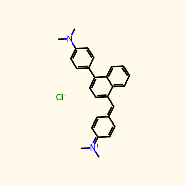 CN(C)c1ccc(-c2ccc(C=C3C=CC(=[N+](C)C)C=C3)c3ccccc23)cc1.[Cl-]